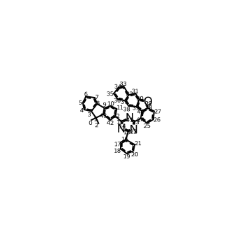 CC1(C)c2ccccc2-c2ccc(-c3nc(-c4ccccc4)nc(-c4cccc5oc6cc7ccccc7cc6c45)n3)cc21